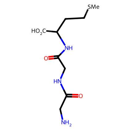 CSCCC(NC(=O)CNC(=O)CN)C(=O)O